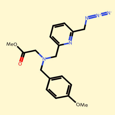 COC(=O)CN(Cc1ccc(OC)cc1)Cc1cccc(CN=[N+]=[N-])n1